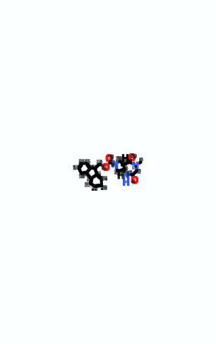 CN1CC(=O)N[C@@H]2CN(C(=O)OCC3c4ccccc4-c4ccccc43)C[C@H]2C1=O